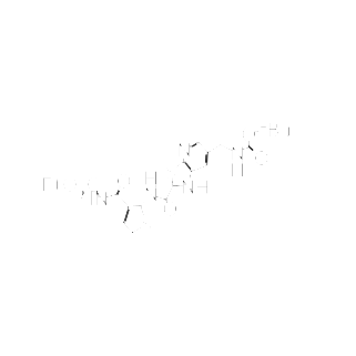 CCOC(=O)NC(=O)C1=CCSC1NC(=O)C1Nc2cc(CNC(=O)OC(C)(C)C)cnc2S1